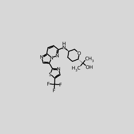 CC(C)(O)[C@@H]1CC[C@@H](Nc2ccc3ncc(-c4ncc(C(F)(F)F)s4)n3n2)CO1